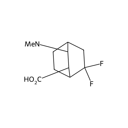 CNC1C2CCC(C1C(=O)O)C(F)(F)C2